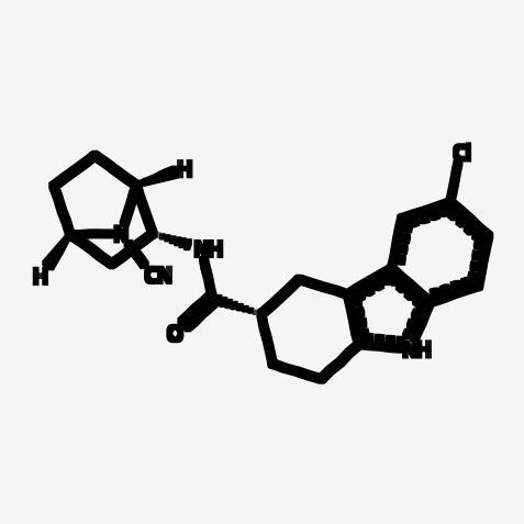 N#CN1[C@H]2CC[C@@H]1[C@H](NC(=O)[C@H]1CCc3[nH]c4ccc(Cl)cc4c3C1)C2